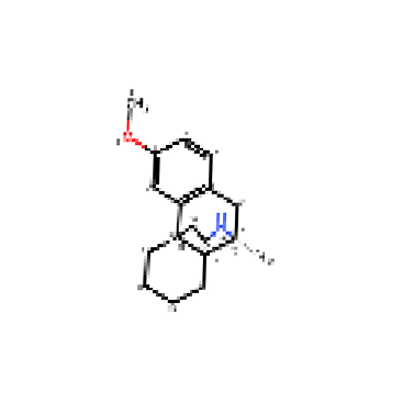 COc1ccc2c(c1)[C@@]13CCCCC1[C@H](C2)NCC3